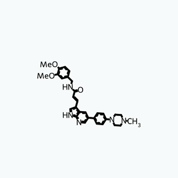 COc1ccc(CNC(=O)/C=C/c2c[nH]c3ncc(-c4ccc(N5CCN(C)CC5)cc4)cc23)cc1OC